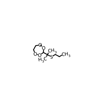 CCCSC(C)(C)C1OOCCOO1